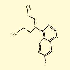 CCCN(CCC)c1n[c]nc2cc(F)ccc12